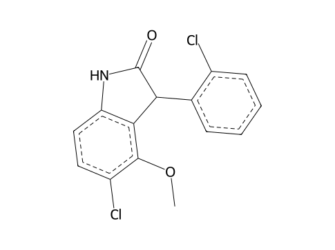 COc1c(Cl)ccc2c1C(c1ccccc1Cl)C(=O)N2